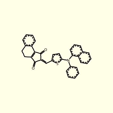 O=C1C2=C(C(=O)/C1=C\c1ccc(N(c3ccccc3)c3cccc4ccccc34)s1)c1ccccc1CC2